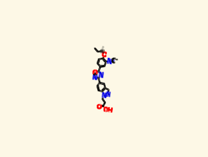 [C-]#[N+]c1cc(-c2nc(-c3ccc4c(cnn4CCC(=O)O)c3)no2)ccc1O[C@@H](C)CC